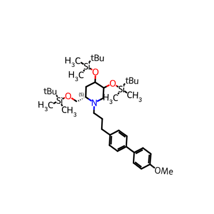 COc1ccc(-c2ccc(CCCN3CC(O[Si](C)(C)C(C)(C)C)C(O[Si](C)(C)C(C)(C)C)C[C@H]3CO[Si](C)(C)C(C)(C)C)cc2)cc1